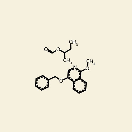 CCC(C)OC=O.COc1ncc(OCc2ccccc2)c2ccccc12